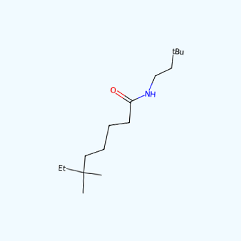 CCC(C)(C)CCCCC(=O)NCCC(C)(C)C